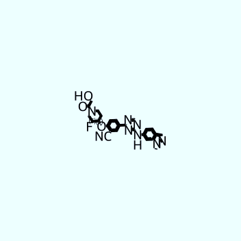 Cn1ncc2ccc(Nc3ncnc(-c4ccc(O[C@H]5CCN(C(=O)CO)C[C@@H]5F)c(C#N)c4)n3)cc21